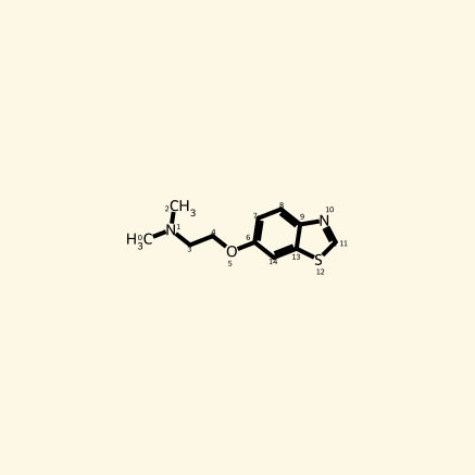 CN(C)CCOc1ccc2n[c]sc2c1